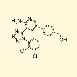 Nc1ncc(-c2ccc(CO)cc2)cc1-c1nnnn1-c1cccc(Cl)c1Cl